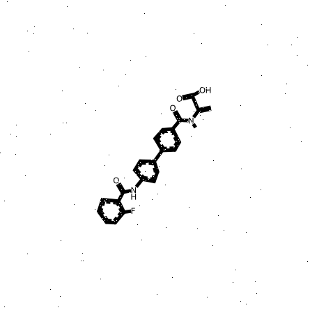 C=C(C(=O)O)N(C)C(=O)c1ccc(-c2ccc(NC(=O)c3ccccc3F)cc2)cc1